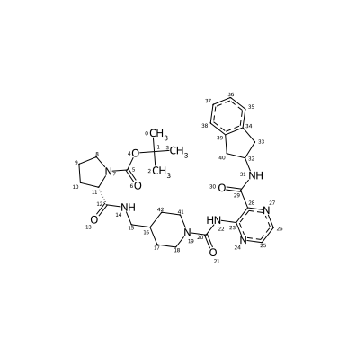 CC(C)(C)OC(=O)N1CCC[C@H]1C(=O)NCC1CCN(C(=O)Nc2nccnc2C(=O)NC2Cc3ccccc3C2)CC1